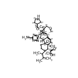 CC(C)[C@@H](C)[C@@]1(C)CC[C@]2(C)[C@H]3CC[C@@H]4[C@@]5(COC[C@@]4(C)[C@@H](OC4CCNC4)[C@H](n4nnc(N)n4)C5)C3=CC[C@@]2(C)[C@@H]1C(=O)O